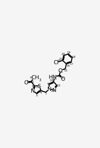 CC(=O)c1ncc(Cn2cc(NC(=O)OCc3ccccc3Cl)cn2)s1